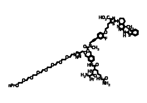 CCCOCCOCCOCCOCCOCCOCCOCCOCCn1cc(COCc2cc(NC(=O)C(CCCNC(N)=O)NC(=O)C(N)C(C)C)ccc2COC(=O)N(C)CC#Cc2ccc(OCCCc3sc(N4CCCc5c4nnc(Nc4nc6ccccc6s4)c5C)nc3C(=O)O)c(F)c2)nn1